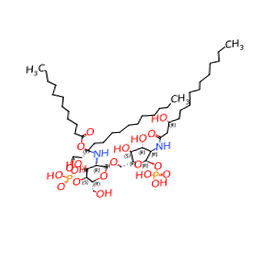 CCCCCCCCCCCC(=O)O[C@@](CC=O)(CCCCCCCCCCC)N[C@H]1[C@H](OC[C@H]2O[C@H](OP(=O)(O)O)[C@H](NC(=O)C[C@H](O)CCCCCCCCCCC)[C@@H](O)[C@@H]2O)O[C@H](CO)[C@@H](OP(=O)(O)O)[C@@H]1O